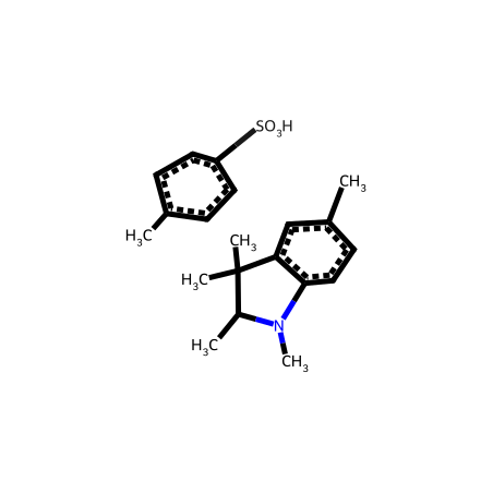 Cc1ccc(S(=O)(=O)O)cc1.Cc1ccc2c(c1)C(C)(C)C(C)N2C